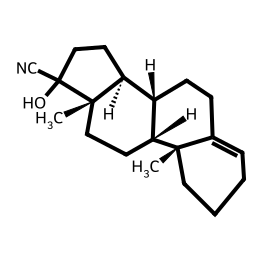 C[C@]12CCCC=C1CC[C@@H]1[C@H]2CC[C@@]2(C)[C@H]1CCC2(O)C#N